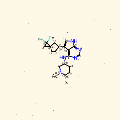 CC(=O)N1C[C@H](Nc2ncnc3[nH]cc([C@H]4CC[C@@]5(C4)CC5(F)F)c23)CC[C@@H]1C